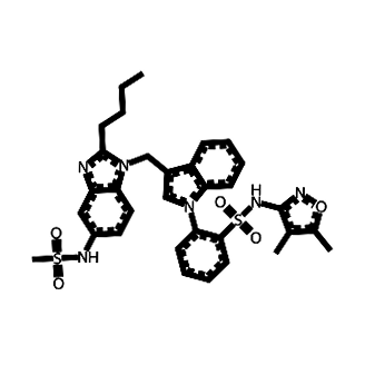 CCCCc1nc2cc(NS(C)(=O)=O)ccc2n1Cc1cn(-c2ccccc2S(=O)(=O)Nc2noc(C)c2C)c2ccccc12